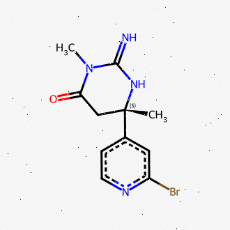 CN1C(=N)N[C@](C)(c2ccnc(Br)c2)CC1=O